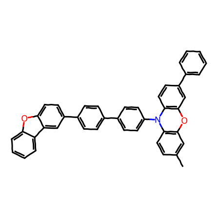 Cc1ccc2c(c1)Oc1cc(-c3ccccc3)ccc1N2c1ccc(-c2ccc(-c3ccc4oc5ccccc5c4c3)cc2)cc1